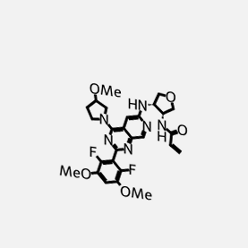 C=CC(=O)N[C@H]1COC[C@H]1Nc1cc2c(N3CCC(OC)C3)nc(-c3c(F)c(OC)cc(OC)c3F)nc2cn1